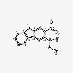 O=[N+]([O-])c1cc2oc3ccccc3c2cc1C(Br)CBr